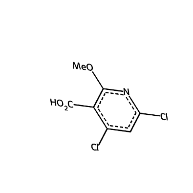 COc1nc(Cl)cc(Cl)c1C(=O)O